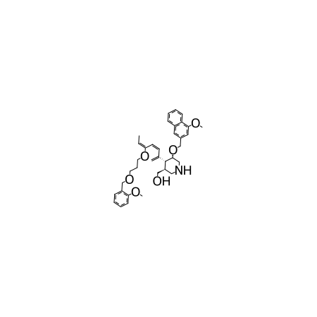 C=C(/C=C\C(=C/C)OCCCOCc1ccccc1OC)[C@H]1[C@H](CO)CNC[C@@H]1OCc1cc(OC)c2ccccc2c1